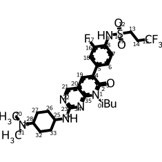 CC[C@H](C)n1c(=O)c(-c2ccc(NS(=O)(=O)CCC(F)(F)F)c(F)c2)cc2cnc(NC3CCC(N(C)C)CC3)nc21